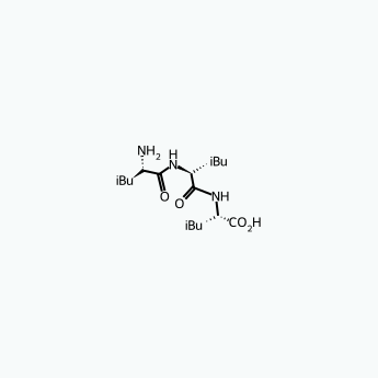 CC[C@H](C)[C@H](N)C(=O)N[C@H](C(=O)N[C@H](C(=O)O)[C@@H](C)CC)[C@@H](C)CC